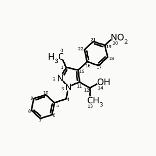 Cc1nn(Cc2ccccc2)c(C(C)O)c1-c1ccc([N+](=O)[O-])cc1